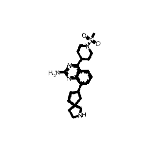 CS(=O)(=O)N1CCC(c2nc(N)nc3c(C4CCC5(CCNC5)C4)cccc23)CC1